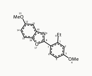 CCc1cc(OC)ccc1-c1nc2cc(OC)ccc2o1